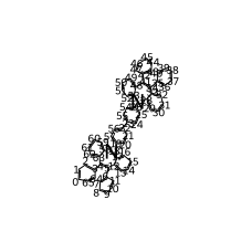 c1ccc(C2=C(c3ccccc3)c3ccccc3N(c3ccc(-c4ccc(N5c6ccccc6C(c6ccccc6)=C(c6ccccc6)c6ccccc65)cc4)cc3)c3ccccc32)cc1